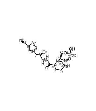 N#Cc1cn(CC(=O)NNC(=O)[C@@H]2CC[C@@H]3CN2C(=O)N3OS(=O)(=O)O)nn1